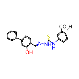 O=C(O)c1cccc(NC(=S)NN=Cc2ccc(-c3ccccc3)cc2O)c1